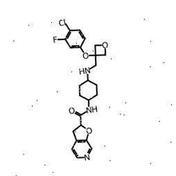 O=C(NC1CCC(NCC2(Oc3ccc(Cl)c(F)c3)COC2)CC1)C1Cc2ccncc2O1